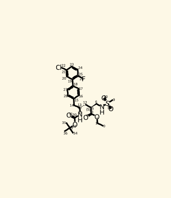 CCOC(=O)[C@H](CNS(C)(=O)=O)C[C@@H](Cc1ccc(-c2cc(Cl)ccc2F)cc1)NC(=O)OC(C)(C)C